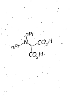 CCCN(CCC)C(C(=O)O)C(=O)O